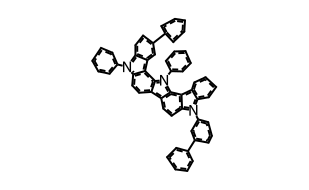 c1ccc(-c2cccc(-n3c4ccccc4c4c3ccc3c5ccc6c(c7cc(-c8ccccc8)ccc7n6-c6ccccc6)c5n(-c5ccccc5)c34)c2)cc1